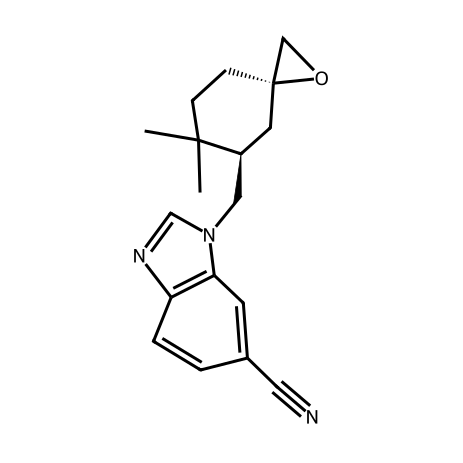 CC1(C)CC[C@@]2(CO2)C[C@H]1Cn1cnc2ccc(C#N)cc21